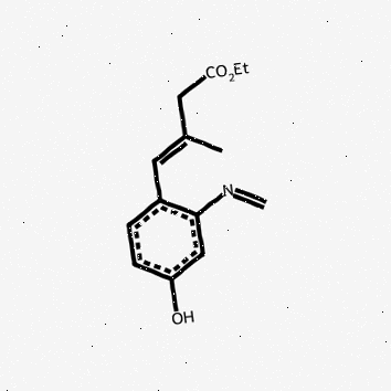 C=Nc1cc(O)ccc1/C=C(\C)CC(=O)OCC